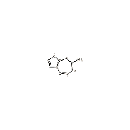 NC1=NC=Cc2ccsc2C1